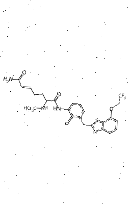 NC(=O)/C=C/CCC(NC(=O)O)C(=O)Nc1cccn(Cc2nc3cccc(OCC(F)(F)F)c3s2)c1=O